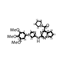 COc1cc(-n2cnc(Nc3nc(C(=O)N4CCCC4)c4cccn4n3)c2)cc(OC)c1OC